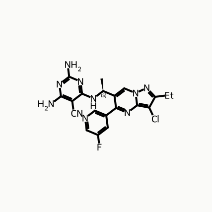 CCc1nn2cc([C@H](C)Nc3nc(N)nc(N)c3C#N)c(-c3cncc(F)c3)nc2c1Cl